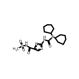 CS(=O)(=O)NC(=O)c1csc(NC(=O)N(C2CCCCC2)C2CCCCC2)n1